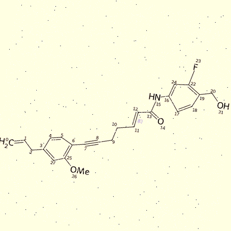 C=CCc1ccc(C#CCC/C=C/C(=O)Nc2ccc(CO)c(F)c2)c(OC)c1